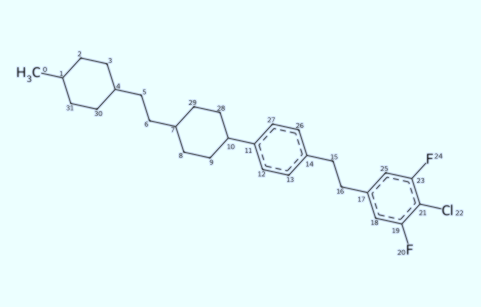 CC1CCC(CCC2CCC(c3ccc(CCc4cc(F)c(Cl)c(F)c4)cc3)CC2)CC1